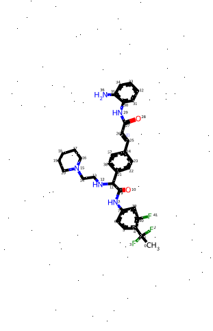 CC(F)(F)c1ccc(NC(=O)C(NCCN2CCCCC2)c2ccc(/C=C/C(=O)Nc3ccccc3N)cc2)cc1F